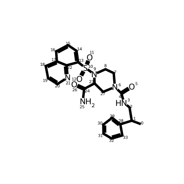 CC(CNC(=O)N1CCN(S(=O)(=O)c2cccc3cccnc23)C(C(N)=O)C1)c1ccccc1